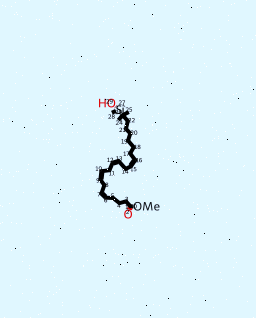 COC(=O)CCC/C=C\C/C=C\C/C=C\C/C=C\CCCCCCC(C)(C)[Si](C)(C)O